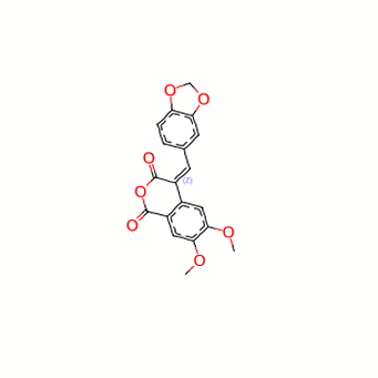 COc1cc2c(cc1OC)/C(=C/c1ccc3c(c1)OCO3)C(=O)OC2=O